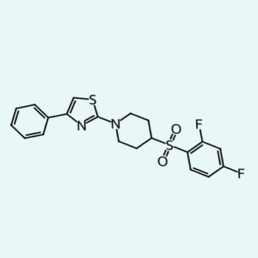 O=S(=O)(c1ccc(F)cc1F)C1CCN(c2nc(-c3ccccc3)cs2)CC1